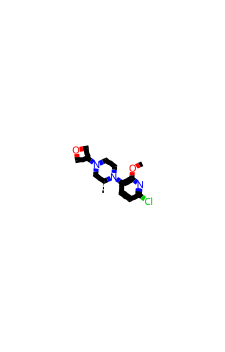 COc1nc(Cl)ccc1N1CCN(C2COC2)C[C@H]1C